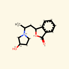 CC(CC1OC(=O)c2ccccc21)N1CCC(O)C1